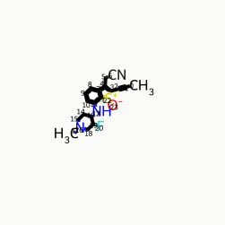 CC#Cc1c(CC#N)c2cccc(NC3CCN(C)CC3F)c2[s+]1[O-]